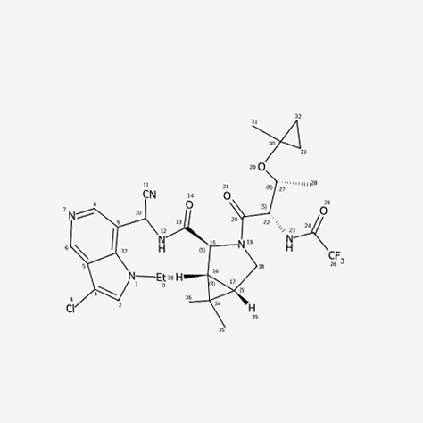 CCn1cc(Cl)c2cncc(C(C#N)NC(=O)[C@@H]3[C@@H]4[C@H](CN3C(=O)[C@@H](NC(=O)C(F)(F)F)[C@@H](C)OC3(C)CC3)C4(C)C)c21